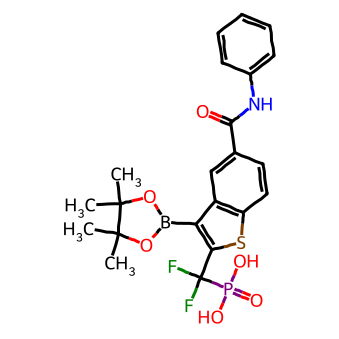 CC1(C)OB(c2c(C(F)(F)P(=O)(O)O)sc3ccc(C(=O)Nc4ccccc4)cc23)OC1(C)C